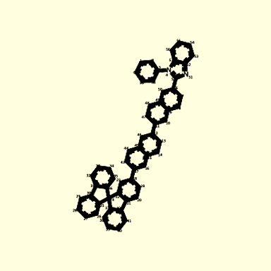 c1ccc(-n2c(-c3ccc4cc(-c5ccc6cc(-c7ccc8c(c7)C7(c9ccccc9-c9ccccc97)c7ccccc7-8)ccc6c5)ccc4c3)nc3ccccc32)cc1